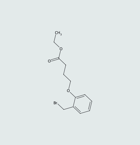 CCOC(=O)CCCOc1ccccc1CBr